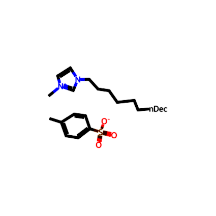 CCCCCCCCCCCCCCCCn1cc[n+](C)c1.Cc1ccc(S(=O)(=O)[O-])cc1